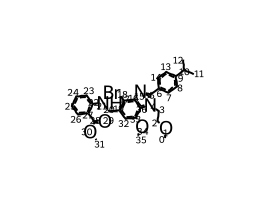 COCCn1c(-c2ccc(C(C)C)cc2)nc2c(Br)c(CNc3ccccc3C(=O)OC)cc(OC)c21